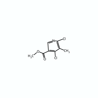 COC(=O)c1cnc(Cl)c(C)c1Cl